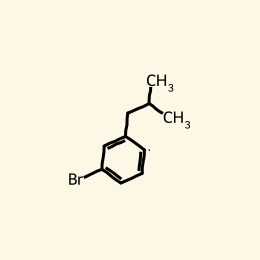 CC(C)Cc1[c]ccc(Br)c1